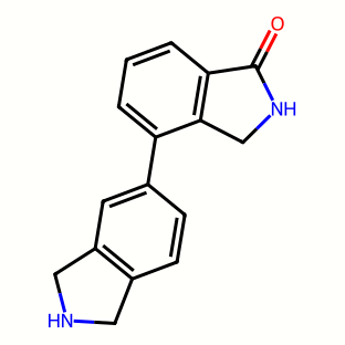 O=C1NCc2c1cccc2-c1ccc2c(c1)CNC2